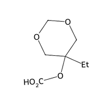 CCC1(OC(=O)O)COCOC1